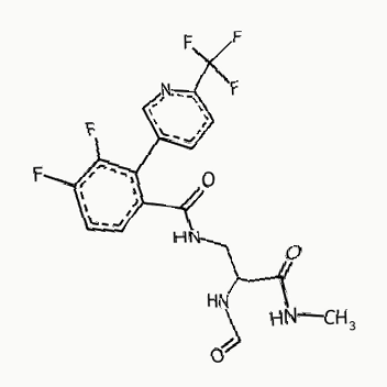 CNC(=O)C(CNC(=O)c1ccc(F)c(F)c1-c1ccc(C(F)(F)F)nc1)NC=O